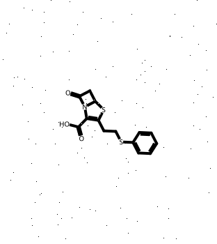 O=C(O)C1=C(CCSc2ccccc2)SC2CC(=O)N12